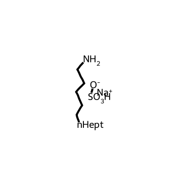 CCCCCCCCCCCCN.O=S(=O)([O-])O.[Na+]